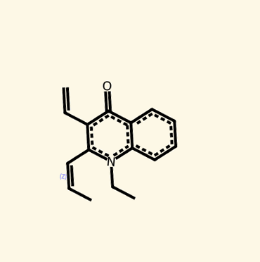 C=Cc1c(/C=C\C)n(CC)c2ccccc2c1=O